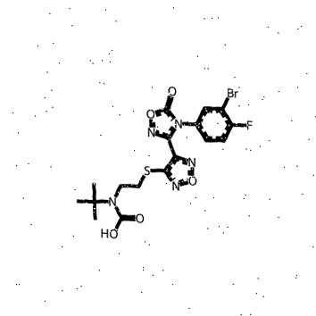 CC(C)(C)N(CCSc1nonc1-c1noc(=O)n1-c1ccc(F)c(Br)c1)C(=O)O